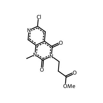 COC(=O)CCn1c(=O)c2cc(Cl)ncc2n(C)c1=O